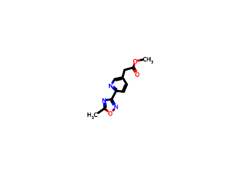 COC(=O)Cc1ccc(-c2noc(C)n2)nc1